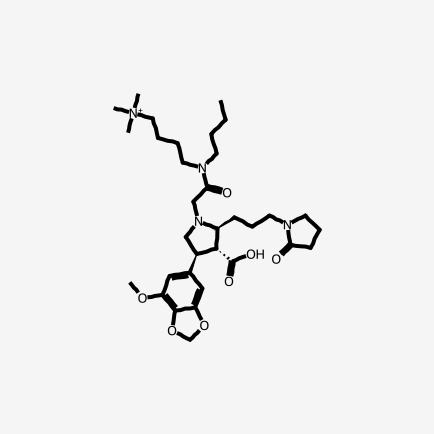 CCCCN(CCCC[N+](C)(C)C)C(=O)CN1C[C@H](c2cc(OC)c3c(c2)OCO3)[C@@H](C(=O)O)[C@@H]1CCCN1CCCC1=O